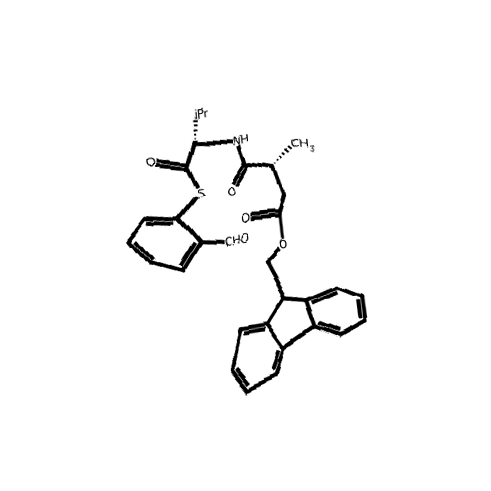 CC(C)[C@H](NC(=O)[C@H](C)CC(=O)OCC1c2ccccc2-c2ccccc21)C(=O)Sc1ccccc1C=O